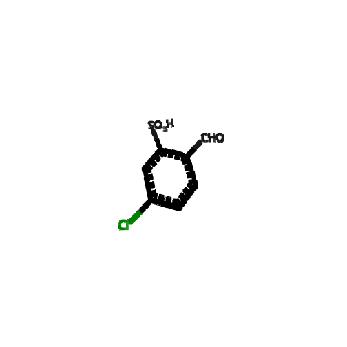 O=Cc1ccc(Cl)cc1S(=O)(=O)O